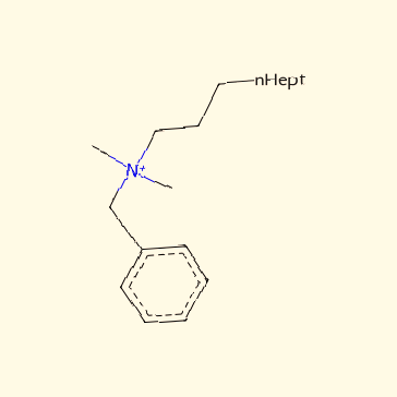 CCCCCCCCCC[N+](C)(C)Cc1ccccc1